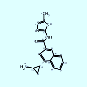 Cc1nnc(NC(=O)c2cc([C@@H]3C[C@H]3N)c3ccccc3c2)s1